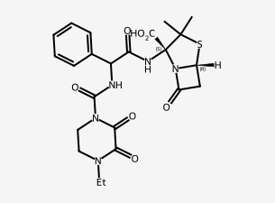 CCN1CCN(C(=O)NC(C(=O)N[C@@]2(C(=O)O)N3C(=O)C[C@H]3SC2(C)C)c2ccccc2)C(=O)C1=O